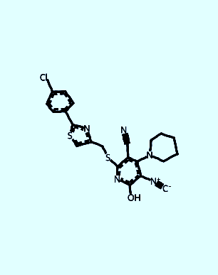 [C-]#[N+]c1c(O)nc(SCc2csc(-c3ccc(Cl)cc3)n2)c(C#N)c1N1CCCCC1